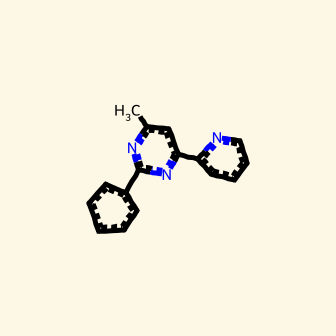 Cc1cc(-c2ccccn2)nc(-c2ccccc2)n1